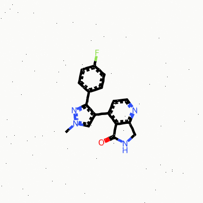 Cn1cc(-c2ccnc3c2C(=O)NC3)c(-c2ccc(F)cc2)n1